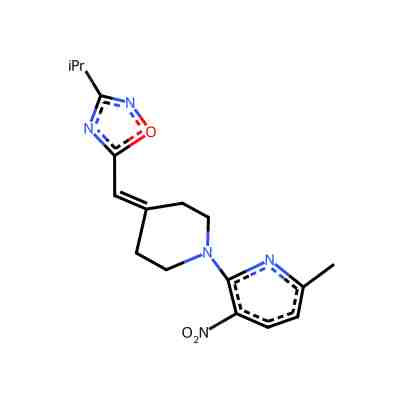 Cc1ccc([N+](=O)[O-])c(N2CCC(=Cc3nc(C(C)C)no3)CC2)n1